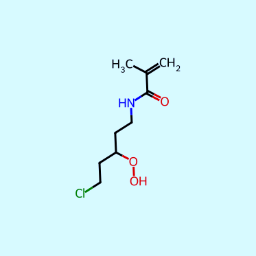 C=C(C)C(=O)NCCC(CCCl)OO